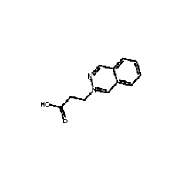 O=C(O)CC[n+]1cc2ccccc2cn1